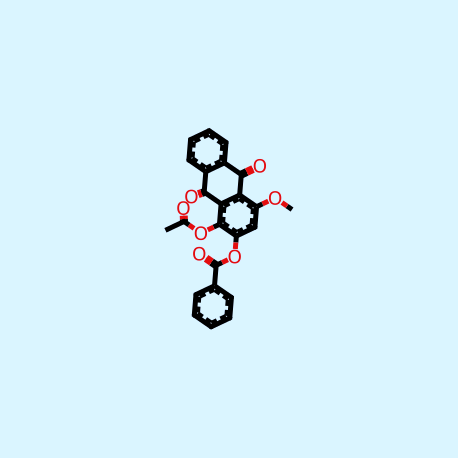 COc1cc(OC(=O)c2ccccc2)c(OC(C)=O)c2c1C(=O)c1ccccc1C2=O